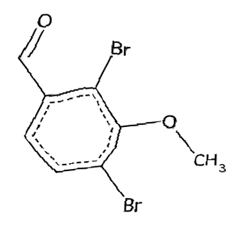 COc1c(Br)ccc(C=O)c1Br